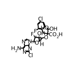 Nc1nc(Cl)nc2c1ncn2[C@@H]1O[C@@H]2C(OC(Cc3ccc(Cl)cc3F)(C(=O)O)C(O)O)[C@]2(O)[C@@H]1F